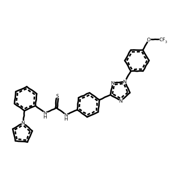 FC(F)(F)Oc1ccc(-n2cnc(-c3ccc(NC(=S)Nc4ccccc4-n4cccc4)cc3)n2)cc1